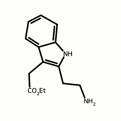 CCOC(=O)Cc1c(CCN)[nH]c2ccccc12